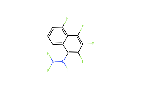 Fc1c(F)c(F)c2c(F)cccc2c1N(F)N(F)F